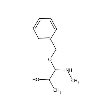 CNC(OCc1ccccc1)C(C)O